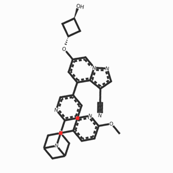 COc1ccc(CN2C3CC2CN(c2ccc(-c4cc(O[C@H]5C[C@H](O)C5)cn5ncc(C#N)c45)cn2)C3)cn1